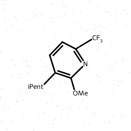 CCCC(C)c1ccc(C(F)(F)F)nc1OC